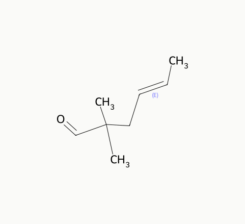 C/C=C/CC(C)(C)C=O